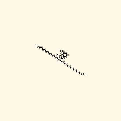 CCCCCCCCCCCCCCN(CCCCCCCCCCCCCC)C(N)=O.Cc1ccccc1C